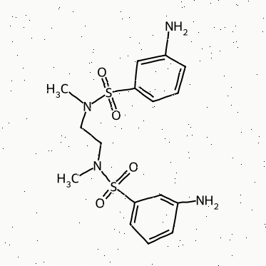 CN(CCN(C)S(=O)(=O)c1cccc(N)c1)S(=O)(=O)c1cccc(N)c1